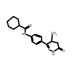 CC1CC(=O)NN=C1c1ccc(NC(=O)C2CCCCC2)cc1